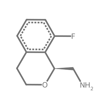 NC[C@H]1OCCc2cccc(F)c21